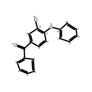 O=C(c1ccccc1)c1ccc(Sc2ccccc2)c(Cl)c1